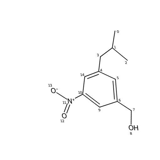 CC(C)Cc1cc(CO)cc([N+](=O)[O-])c1